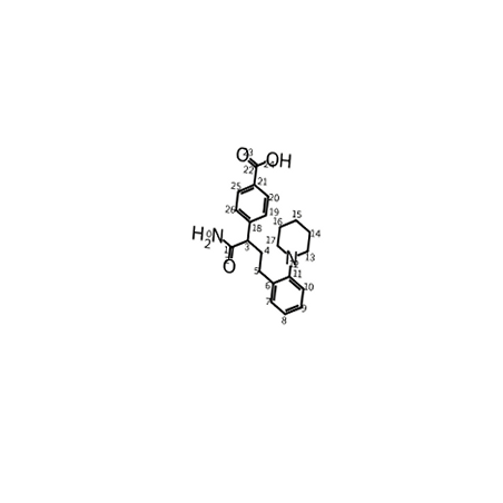 NC(=O)C(CCc1ccccc1N1CCCCC1)c1ccc(C(=O)O)cc1